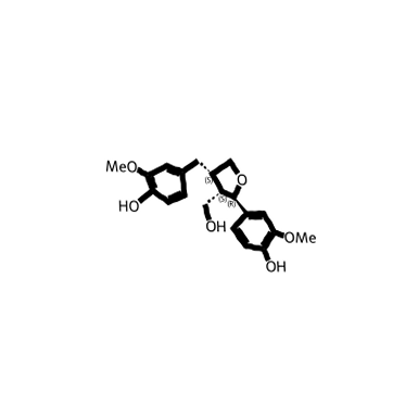 COc1cc(C[C@@H]2CO[C@@H](c3ccc(O)c(OC)c3)[C@@H]2CO)ccc1O